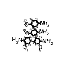 COc1cc(-c2ccc(N)c(OC)c2)ccc1N.COc1ccc(N)cc1.COc1ccc(N)cc1